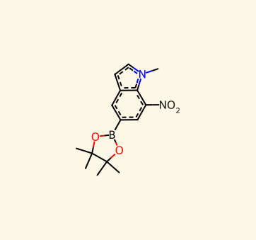 Cn1ccc2cc(B3OC(C)(C)C(C)(C)O3)cc([N+](=O)[O-])c21